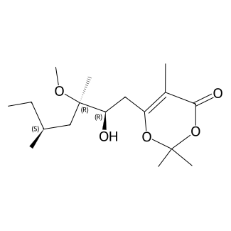 CC[C@H](C)C[C@@](C)(OC)[C@H](O)CC1=C(C)C(=O)OC(C)(C)O1